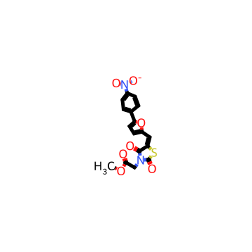 COC(=O)CN1C(=O)SC(=Cc2ccc(-c3ccc([N+](=O)[O-])cc3)o2)C1=O